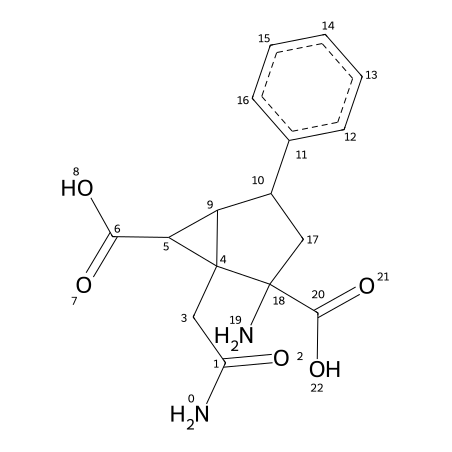 NC(=O)CC12C(C(=O)O)C1C(c1ccccc1)CC2(N)C(=O)O